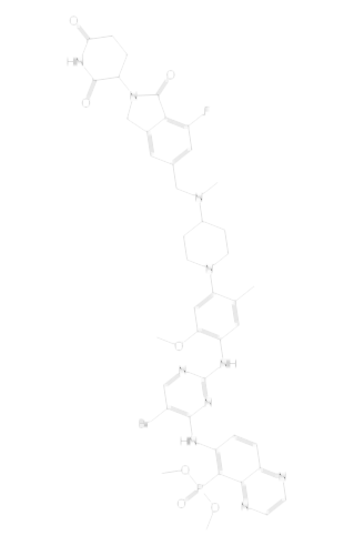 COc1cc(N2CCC(N(C)Cc3cc(F)c4c(c3)CN(C3CCC(=O)NC3=O)C4=O)CC2)c(C)cc1Nc1ncc(Br)c(Nc2ccc3nccnc3c2P(=O)(OC)OC)n1